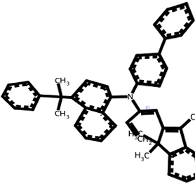 C=C/C(=C\C1=C(C)c2ccccc2C1(C)C)N(c1ccc(-c2ccccc2)cc1)c1ccc(C(C)(C)c2ccccc2)c2ccccc12